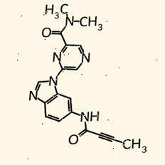 CC#CC(=O)Nc1ccc2ncn(-c3cncc(C(=O)N(C)C)n3)c2c1